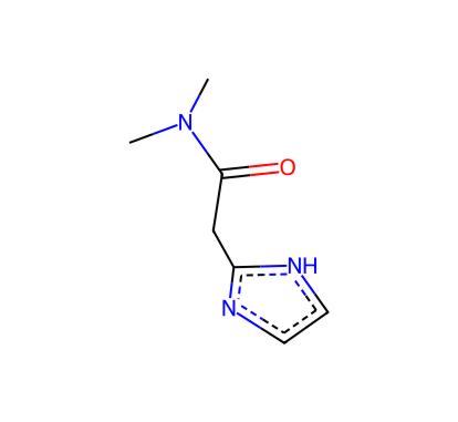 CN(C)C(=O)Cc1ncc[nH]1